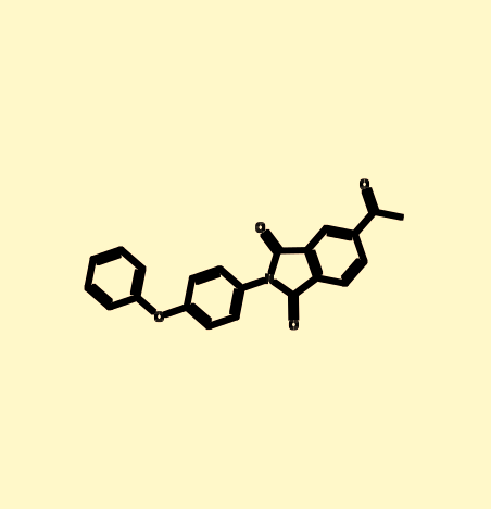 CC(=O)c1ccc2c(c1)C(=O)N(c1ccc(Oc3ccccc3)cc1)C2=O